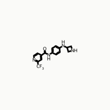 O=C(Nc1ccc(NC2CNC2)cc1)c1ccnc(C(F)(F)F)c1